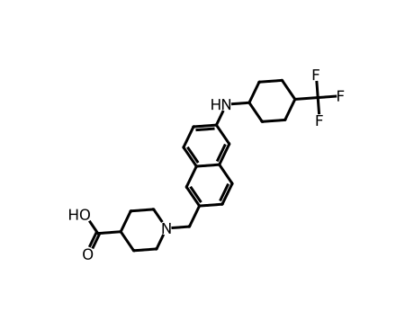 O=C(O)C1CCN(Cc2ccc3cc(NC4CCC(C(F)(F)F)CC4)ccc3c2)CC1